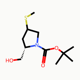 CSC1C[C@@H](CO)N(C(=O)OC(C)(C)C)C1